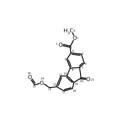 COC(=O)c1ccc2c(c1)-c1cc(COC=O)ccc1C2=O